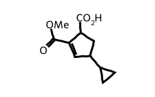 COC(=O)C1=CC(C2CC2)CC1C(=O)O